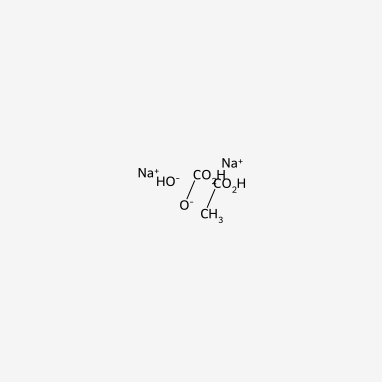 CC(=O)O.O=C([O-])O.[Na+].[Na+].[OH-]